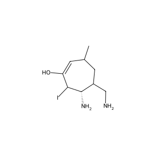 CC1C=C(O)C(I)[C@@H](N)C(CN)C1